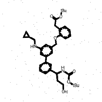 CC(C)(C)OC(=O)Cc1ccccc1OCc1cc(NCC2CC2)cc(-c2cccc(C(CCO)NC(=O)OC(C)(C)C)c2)c1